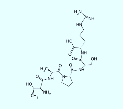 C[C@H](NC(=O)[C@@H](N)[C@@H](C)O)C(=O)N1CCC[C@H]1C(=O)N[C@@H](CO)C(=O)N[C@@H](CCCNC(=N)N)C(=O)O